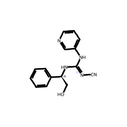 N#C/N=C(\Nc1cccnc1)N[C@@H](CO)c1ccccc1